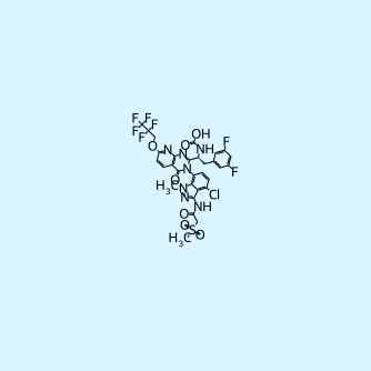 Cn1nc(NC(=O)CS(C)(=O)=O)c2c(Cl)ccc(-n3c([C@H](Cc4cc(F)cc(F)c4)NC(=O)O)nc4nc(OCC(F)(F)C(F)(F)F)ccc4c3=O)c21